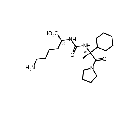 C[C@](NC(=O)N[C@@H](CCCCN)C(=O)O)(C(=O)N1CCCC1)C1CCCCC1